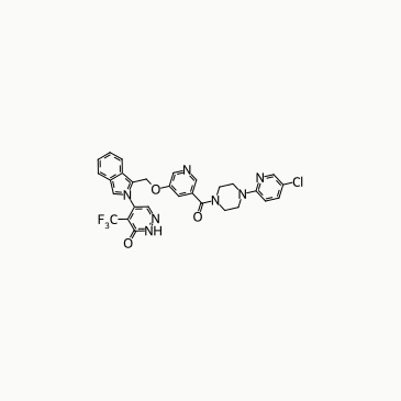 O=C(c1cncc(OCc2c3ccccc3cn2-c2cn[nH]c(=O)c2C(F)(F)F)c1)N1CCN(c2ccc(Cl)cn2)CC1